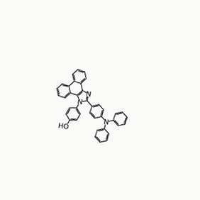 Oc1ccc(-n2c(-c3ccc(N(c4ccccc4)c4ccccc4)cc3)nc3c4ccccc4c4ccccc4c32)cc1